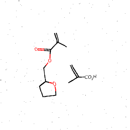 C=C(C)C(=O)O.C=C(C)C(=O)OCC1CCCO1